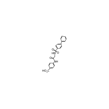 O=C(CNS(=O)(=O)c1ccc(-c2ccccc2)cc1)Nc1ccc(C(=O)O)cc1